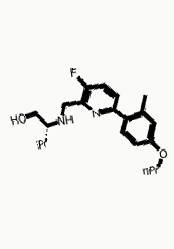 CCCOc1ccc(-c2ccc(F)c(CN[C@@H](CO)C(C)C)n2)c(C)c1